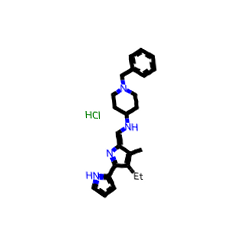 CCC1=C(C)C(=CNC2CCN(Cc3ccccc3)CC2)N=C1c1ccc[nH]1.Cl